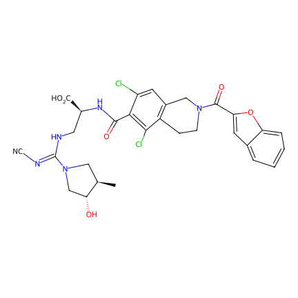 C[C@@H]1CN(/C(=N/C#N)NC[C@H](NC(=O)c2c(Cl)cc3c(c2Cl)CCN(C(=O)c2cc4ccccc4o2)C3)C(=O)O)C[C@H]1O